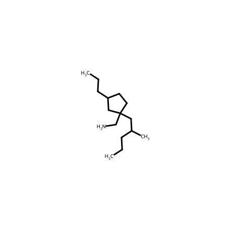 CCCC(C)CC1(CN)CCC(CCC)C1